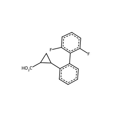 O=C(O)C1CC1c1ccccc1-c1c(F)cccc1F